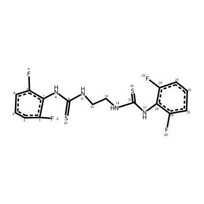 Fc1cccc(F)c1NC(=S)NCCNC(=S)Nc1c(F)cccc1F